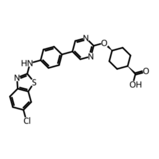 O=C(O)[C@H]1CC[C@@H](Oc2ncc(-c3ccc(Nc4nc5ccc(Cl)cc5s4)cc3)cn2)CC1